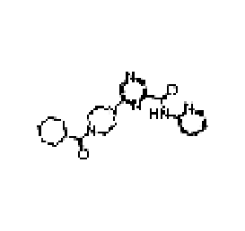 O=C(Nc1ccccn1)c1cncc(N2CCN(C(=O)C3CCCCC3)CC2)n1